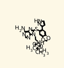 CC(C)(C)S(=O)(=O)NCCn1c(Sc2cc3c(cc2-c2cc[nH]n2)OCO3)nc2c(N)ncnc21